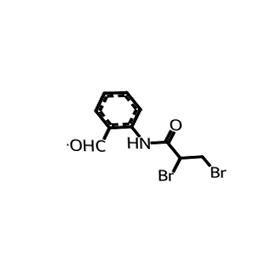 O=[C]c1ccccc1NC(=O)C(Br)CBr